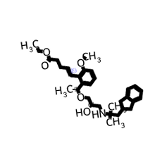 CCOC(=O)CC/C=C/c1c(OC)cccc1[C@@H](C)OC[C@H](O)CNC(C)(C)CC1Cc2ccccc2C1